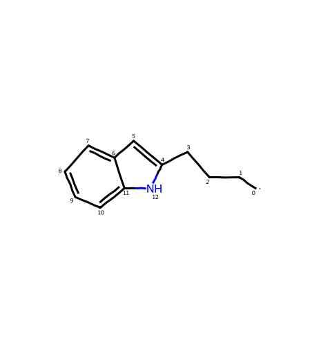 [CH2]CCCc1cc2ccccc2[nH]1